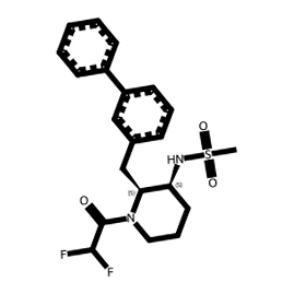 CS(=O)(=O)N[C@H]1CCCN(C(=O)C(F)F)[C@H]1Cc1cccc(-c2ccccc2)c1